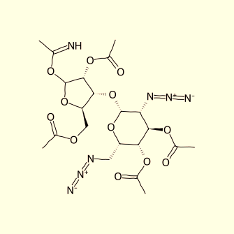 CC(=N)OC1O[C@H](COC(C)=O)[C@@H](O[C@H]2O[C@@H](CN=[N+]=[N-])[C@@H](OC(C)=O)[C@H](OC(C)=O)[C@H]2N=[N+]=[N-])[C@H]1OC(C)=O